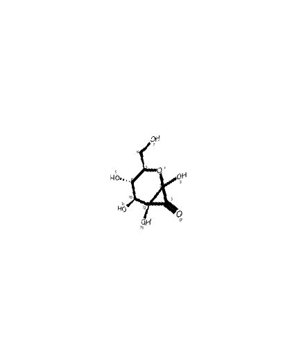 O=C1C2(O)O[C@H](CO)[C@@H](O)[C@H](O)[C@@]12O